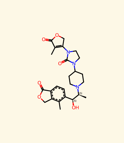 CC1=C(N2CCN(C3CCN([C@@H](C)[C@@H](O)c4ccc5c(c4C)COC5=O)CC3)C2=O)COC1=O